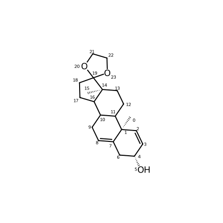 C[C@]12C=C[C@H](O)CC1=CCC1C2CC[C@@]2(C)C1CCC21OCCO1